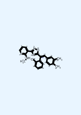 CNc1ncccc1-c1noc(/C(=C/c2ccc(C)c(C)c2)c2ccccc2Cl)n1